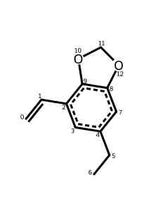 C=Cc1cc(CC)cc2c1OCO2